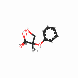 CC(CO)(Oc1ccccc1)C(=O)O